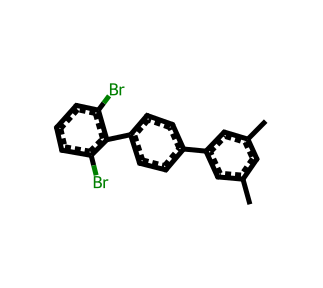 Cc1cc(C)cc(-c2ccc(-c3c(Br)cccc3Br)cc2)c1